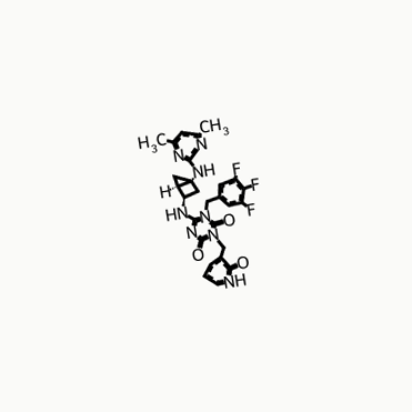 Cc1cc(C)nc(N[C@@]23C[C@@H]2[C@H](Nc2nc(=O)n(Cc4ccc[nH]c4=O)c(=O)n2Cc2cc(F)c(F)c(F)c2)C3)n1